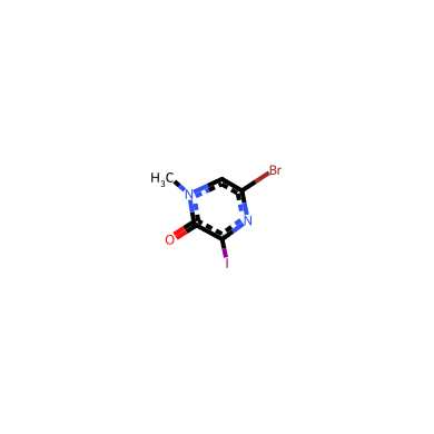 Cn1cc(Br)nc(I)c1=O